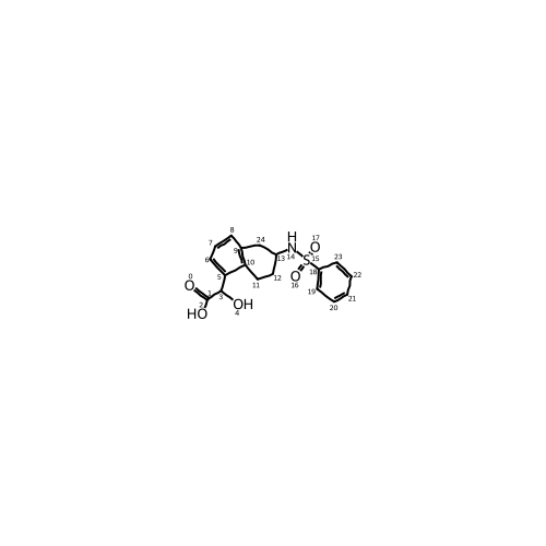 O=C(O)C(O)c1cccc2c1CCC(NS(=O)(=O)c1ccccc1)C2